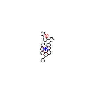 c1ccc(-c2cccc(-c3ccccc3N(c3ccc(-c4ccccc4-c4cccc5c4oc4ccccc45)cc3)c3ccccc3-c3ccccc3-n3c4ccccc4c4ccccc43)c2)cc1